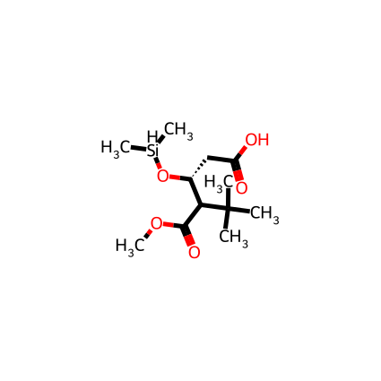 COC(=O)C([C@@H](CC(=O)O)O[SiH](C)C)C(C)(C)C